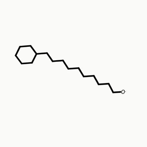 [O]CCCCCCCCCCC1CCCCC1